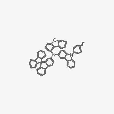 Fc1ccc(-n2c3ccccc3c3cc(N(c4ccc5c(c4)C4(c6ccccc6-c6ccccc64)c4ccccc4-5)c4cccc5oc6ccccc6c45)ccc32)cc1